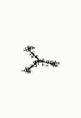 CC(C)NC(COCCC(=O)NCCCNC(=O)CCCCOC1OC(CO)C(O)C(O)C1O)(COCCC(=O)NCCCNC(=O)CCCCOC1OC(CO)C(O)C(O)C1O)COCCC(=O)NCCCNC(=O)CCCCOC1OC(CO)C(O)C(O)C1O